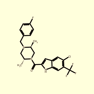 C[C@@H]1CN(Cc2ccc(F)cc2)[C@@H](C)CN1C(=O)c1cc2cc(Cl)c(C(F)(F)F)cc2[nH]1